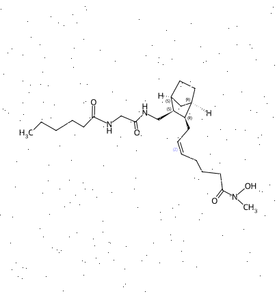 CCCCCC(=O)NCC(=O)NC[C@H]1[C@H]2CC[C@H](C2)[C@H]1C/C=C\CCCC(=O)N(C)O